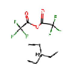 CC[SiH](CC)CC.O=C(OC(=O)C(F)(F)F)C(F)(F)F